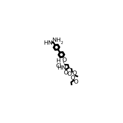 CCC(=O)OC(C)OC(=O)C[C@@H]1C[C@@H](COc2ccc(-c3ccc(C(=N)N)cc3)cc2)NC1=O.Cl